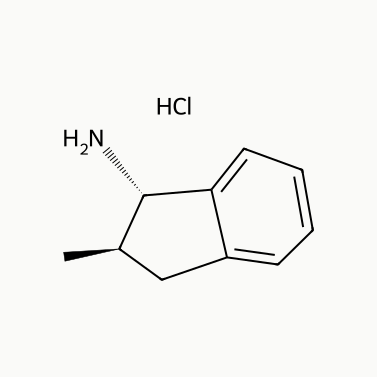 C[C@@H]1Cc2ccccc2[C@H]1N.Cl